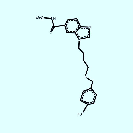 CONC(=O)c1ccc2ncn(CCCCOCc3ccc(C(F)(F)F)cc3)c2c1